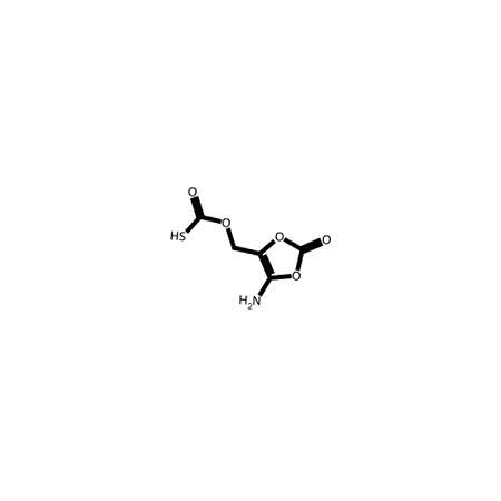 Nc1oc(=O)oc1COC(=O)S